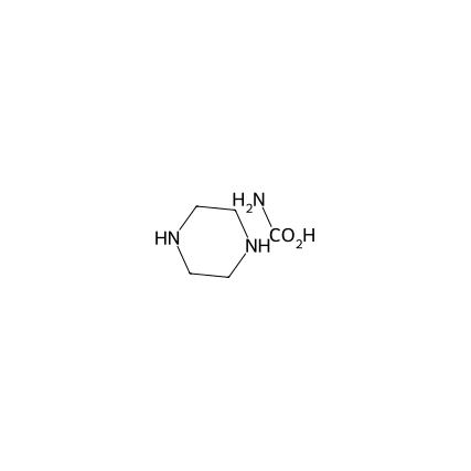 C1CNCCN1.NC(=O)O